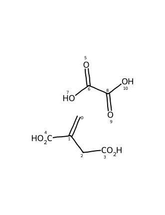 C=C(CC(=O)O)C(=O)O.O=C(O)C(=O)O